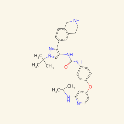 CC(C)Nc1cc(Oc2ccc(NC(=O)Nc3cn(C(C)(C)C)nc3-c3ccc4c(c3)CCNC4)cc2)ccn1